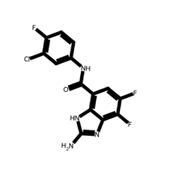 Nc1nc2c(F)c(F)cc(C(=O)Nc3ccc(F)c(Cl)c3)c2[nH]1